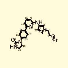 CCOCCn1cc(Nc2cccc(-c3ccc(N4CCNC4=O)cc3)n2)cn1